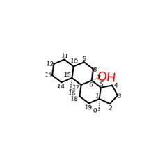 C[C@@]12CCCC1[C@]1(O)CCC3CCCC[C@]3(C)C1CC2